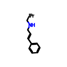 CC(C)CNCC=Cc1ccccc1